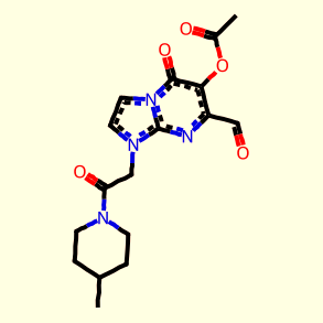 CC(=O)Oc1c(C=O)nc2n(CC(=O)N3CCC(C)CC3)ccn2c1=O